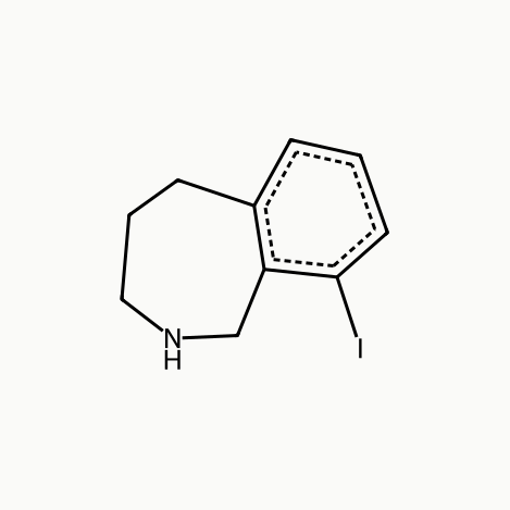 Ic1cccc2c1CNCCC2